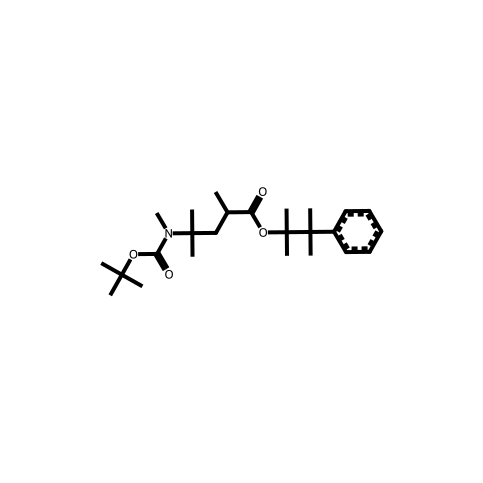 CC(CC(C)(C)N(C)C(=O)OC(C)(C)C)C(=O)OC(C)(C)C(C)(C)c1ccccc1